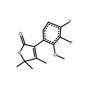 COc1c(C2=C(C)C(C)(C)OC2=O)ccc(F)c1F